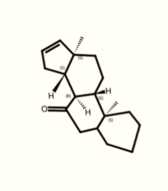 C[C@@]12C=CC[C@H]1[C@@H]1C(=O)CC3CCCC[C@]3(C)[C@H]1CC2